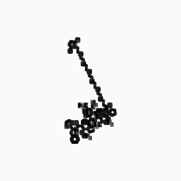 CC[C@H](C)[C@@H]([C@@H](CC(=O)N1CCC[C@H]1[C@H](OC)[C@@H](C)C(=O)N[C@@H](Cc1ccccc1)c1nccs1)OC)N(C)C(=O)[C@@H](NC(=O)C1(NC(=O)CCOCCOCCOCCOCCOCCOCCN2C(=O)C=CC2=O)CCCC1)C(C)C